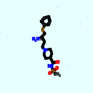 CS(=O)(=O)NC(=O)C1CCN(CC[C@@H](N)CSc2ccccc2)CC1